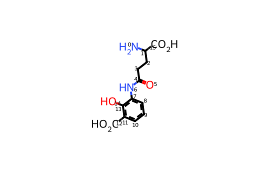 NC(CCC(=O)Nc1cccc(C(=O)O)c1O)C(=O)O